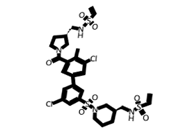 C=CS(=O)(=O)NC[C@H]1CCN(C(=O)c2cc(-c3cc(Cl)cc(S(=O)(=O)N4CCC[C@H](CNS(=O)(=O)C=C)C4)c3)cc(Cl)c2C)C1